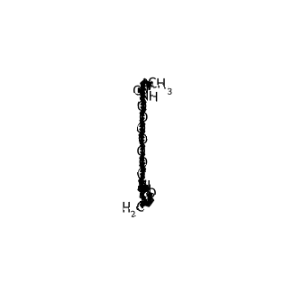 C=C1C=CC(=O)N1Cc1cn(CCOCCOCCOCCOCCOCCOCCOCCNC(=O)N2CC[C@@H](C)C2)nn1